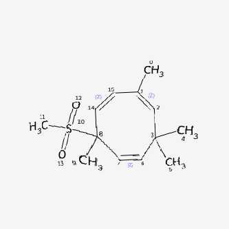 CC1=C/C(C)(C)/C=C\C(C)(S(C)(=O)=O)/C=C\1